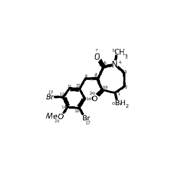 BC1CCN(C)C(=O)C(Cc2cc(Br)c(OC)c(Br)c2)C1=O